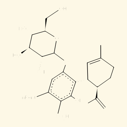 C=C(C)[C@@H]1CCC(C)=C[C@H]1c1c(OC2O[C@H](CO)[C@@H](O)[C@H](O)[C@H]2O)cc(CCCCC)c(C(=O)O)c1O